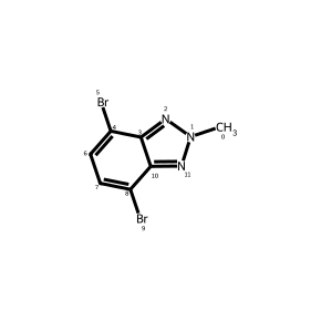 Cn1nc2c(Br)ccc(Br)c2n1